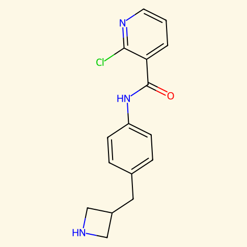 O=C(Nc1ccc(CC2CNC2)cc1)c1cccnc1Cl